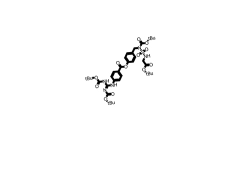 CC(C)(C)OC(=O)CNS(=O)(=O)N(Cc1ccc(OC(=O)c2ccc(N/C(=N\C(=O)OC(C)(C)C)NC(=O)OC(C)(C)C)cc2)cc1)C(=O)OC(C)(C)C